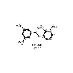 CCN.COc1cc(CCc2cccc(OC)c2OC)cc(OC)c1.Cl